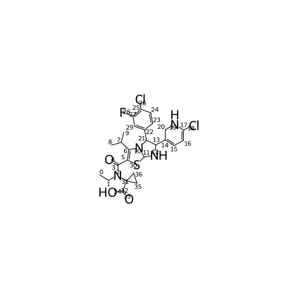 CCN(C(=O)C1=C(C(C)C)N2C(NC(C3=CC=C(Cl)NC3)C2c2ccc(Cl)c(F)c2)S1)C1(C(=O)O)CC1